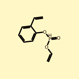 C=CO[PH](=O)Oc1ccccc1C=C